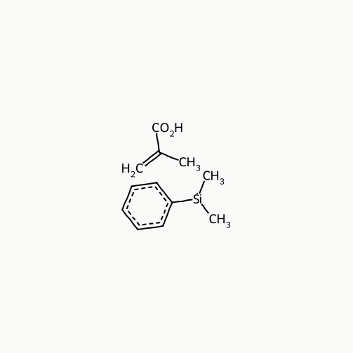 C=C(C)C(=O)O.C[Si](C)c1ccccc1